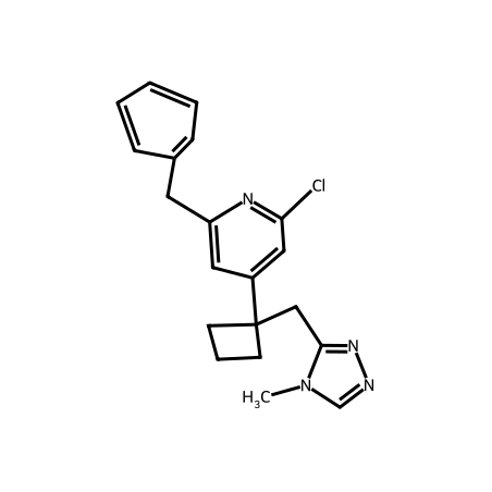 Cn1cnnc1CC1(c2cc(Cl)nc(Cc3ccccc3)c2)CCC1